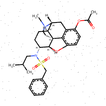 CC(=O)Oc1ccc2c3c1C[C@@H]1[C@@H]4CC[C@@H](N(CC(C)C)S(=O)(=O)Cc5ccccc5)[C@H](O2)[C@]34CCN1C